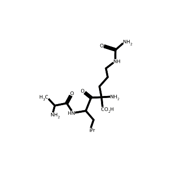 CC(C)CC(NC(=O)C(C)N)C(=O)C(N)(CCCNC(N)=O)C(=O)O